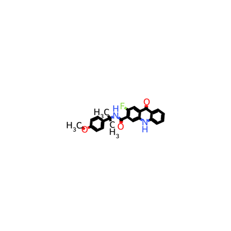 COc1ccc(C(C)(C)NC(=O)c2cc3[nH]c4ccccc4c(=O)c3cc2F)cc1